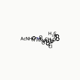 CC(=O)Nc1ccc(/C=C/C(=O)NCC(=O)N(C)c2ccc(Cl)c(COCOc3cccc4ccc(C)nc34)c2Cl)cn1